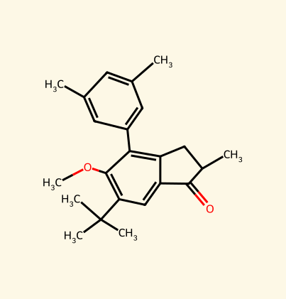 COc1c(C(C)(C)C)cc2c(c1-c1cc(C)cc(C)c1)CC(C)C2=O